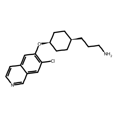 NCCC[C@H]1CC[C@@H](Oc2cc3ccncc3cc2Cl)CC1